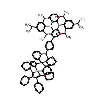 CC(C)c1cc(C(C)C)c(B2c3ccccc3B(c3c(C(C)C)cc(C(C)C)cc3C(C)C)c3cc(-c4ccc(N5c6ccccc6C6(c7ccccc75)c5ccccc5[Si]5(C(c7ccccc7)=C(c7ccccc7)C(c7ccccc7)=C5c5ccccc5)c5ccccc56)cc4)ccc32)c(C(C)C)c1